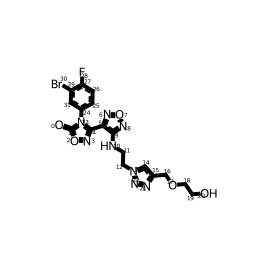 O=c1onc(-c2nonc2NCCn2cc(COCCO)nn2)n1-c1ccc(F)c(Br)c1